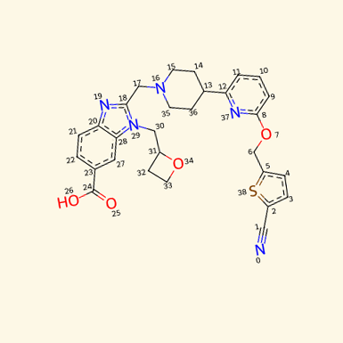 N#Cc1ccc(COc2cccc(C3CCN(Cc4nc5ccc(C(=O)O)cc5n4CC4CCO4)CC3)n2)s1